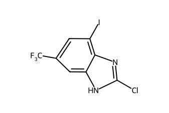 FC(F)(F)c1cc(I)c2nc(Cl)[nH]c2c1